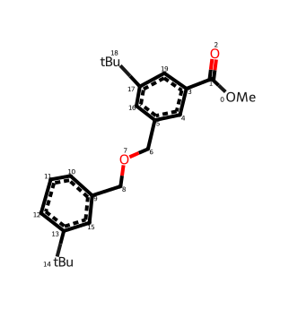 COC(=O)c1cc(COCc2cccc(C(C)(C)C)c2)cc(C(C)(C)C)c1